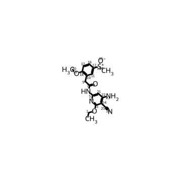 CCOc1nc(NC(=O)Cc2cc([S+](C)[O-])ccc2OC)cc(N)c1C#N